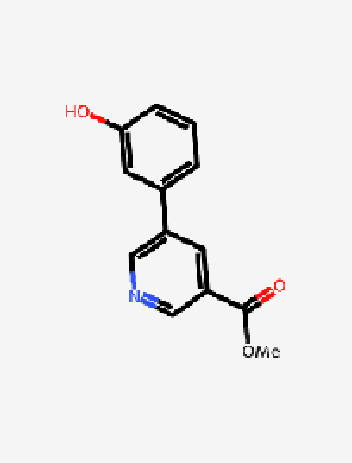 COC(=O)c1cncc(-c2cccc(O)c2)c1